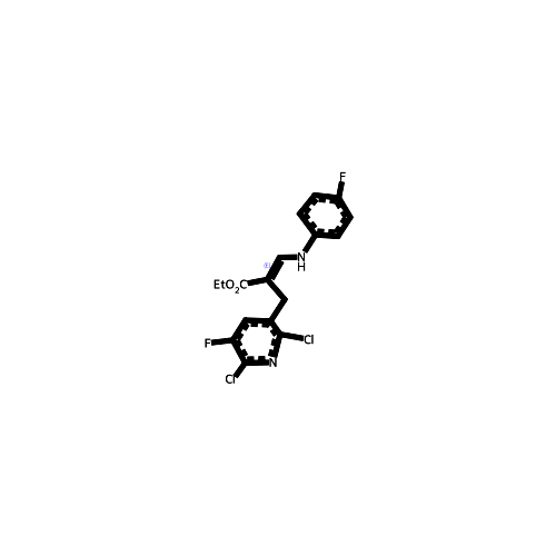 CCOC(=O)/C(=C/Nc1ccc(F)cc1)Cc1cc(F)c(Cl)nc1Cl